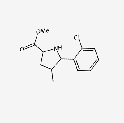 COC(=O)C1CC(C)C(c2ccccc2Cl)N1